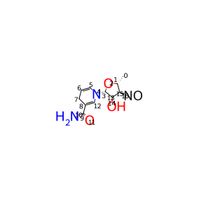 C[C@H]1O[C@@H](N2C=CCC(C(N)=O)=C2)[C@H](O)[C@@H]1N=O